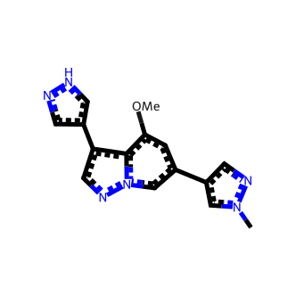 COc1cc(-c2cnn(C)c2)cn2ncc(-c3cn[nH]c3)c12